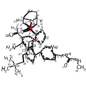 CNC(=O)Nc1ccc(-c2cnn3c(N)c(C(C)=O)c([C@@H]4C[C@H]5CC[C@@H](C4)N5C(=O)c4ncnn4COCC[Si](C)(C)C)nc23)cn1